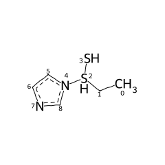 CC[SH](S)n1ccnc1